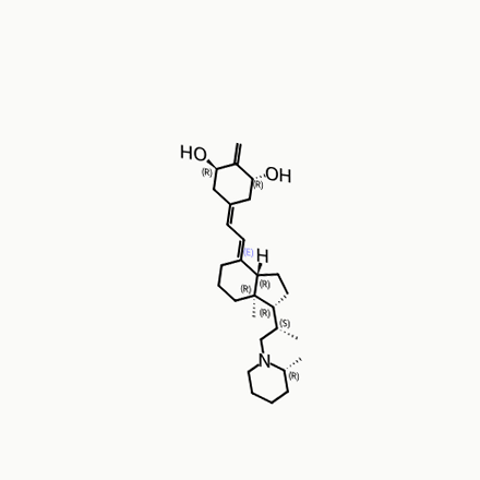 C=C1[C@H](O)CC(=C/C=C2\CCC[C@]3(C)[C@@H]([C@H](C)CN4CCCC[C@H]4C)CC[C@@H]23)C[C@H]1O